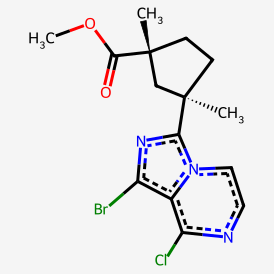 COC(=O)[C@]1(C)CC[C@@](C)(c2nc(Br)c3c(Cl)nccn23)C1